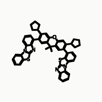 CC1(C)c2cc(-c3cccc4c3nc3sc5ccccc5n34)c(C3CCCC3)cc2Oc2cc(C3CCCC3)c(-c3cccc4c3sc3nc5ccccc5n34)cc21